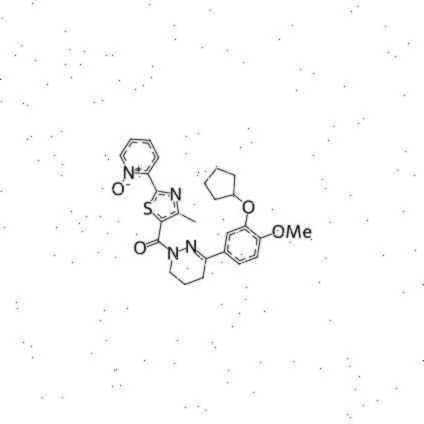 COc1ccc(C2=NN(C(=O)c3sc(-c4cccc[n+]4[O-])nc3C)CCC2)cc1OC1CCCC1